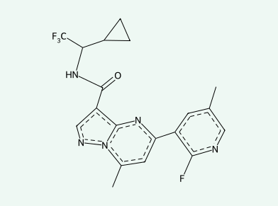 Cc1cnc(F)c(-c2cc(C)n3ncc(C(=O)NC(C4CC4)C(F)(F)F)c3n2)c1